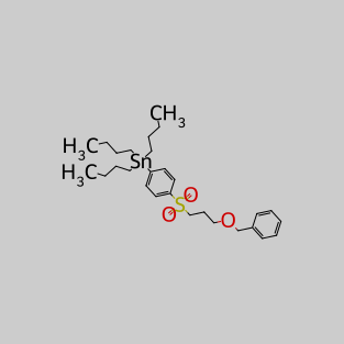 CCC[CH2][Sn]([CH2]CCC)([CH2]CCC)[c]1ccc(S(=O)(=O)CCCOCc2ccccc2)cc1